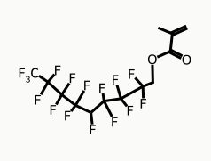 C=C(C)C(=O)OCC(F)(F)C(F)(F)C(F)(F)C(F)C(F)(F)C(F)(F)C(F)(F)C(F)(F)F